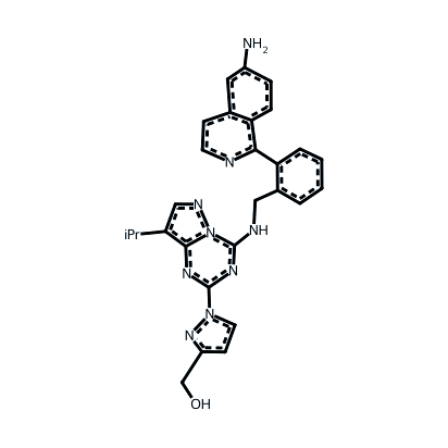 CC(C)c1cnn2c(NCc3ccccc3-c3nccc4cc(N)ccc34)nc(-n3ccc(CO)n3)nc12